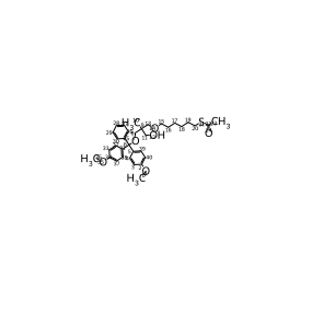 COc1ccc(C(OCC(C)(CO)COCCCCCCSC(C)=O)(c2ccccc2)c2ccc(OC)cc2)cc1